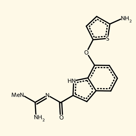 CNC(N)=NC(=O)c1cc2cccc(Oc3ccc(N)s3)c2[nH]1